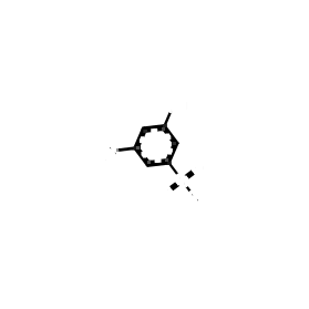 Nc1cc(O)cc(S(N)(=O)=O)c1